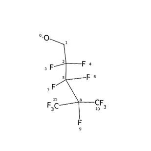 [O]CC(F)(F)C(F)(F)C(F)(C(F)(F)F)C(F)(F)F